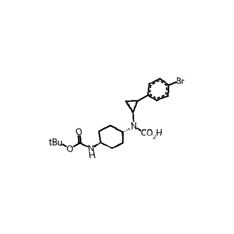 CC(C)(C)OC(=O)N[C@H]1CC[C@H](N(C(=O)O)C2CC2c2ccc(Br)cc2)CC1